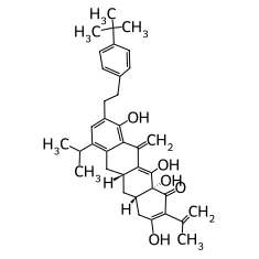 C=C(C)C1=C(O)C[C@@H]2C[C@@H]3Cc4c(C(C)C)cc(CCc5ccc(C(C)(C)C)cc5)c(O)c4C(=C)C3=C(O)[C@@]2(O)C1=O